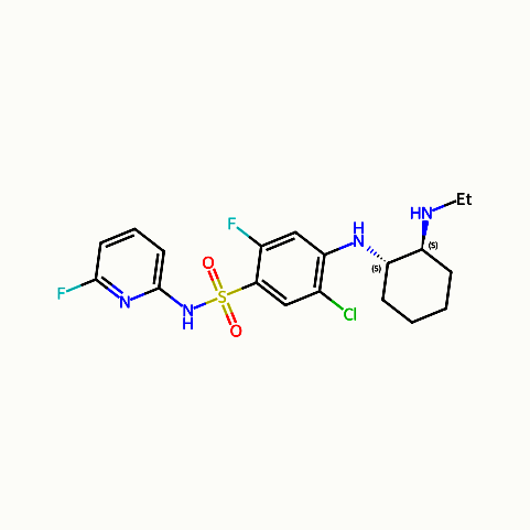 CCN[C@H]1CCCC[C@@H]1Nc1cc(F)c(S(=O)(=O)Nc2cccc(F)n2)cc1Cl